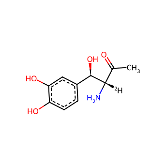 [2H][C@](N)(C(C)=O)[C@H](O)c1ccc(O)c(O)c1